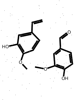 C=Cc1ccc(OC)c(O)c1.COc1cc(C=O)ccc1O